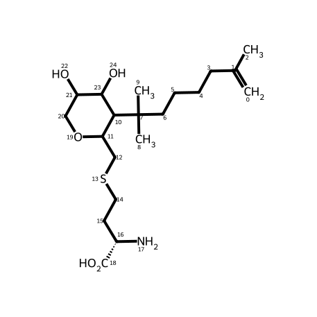 C=C(C)CCCCC(C)(C)C1C(CSCC[C@H](N)C(=O)O)OCC(O)C1O